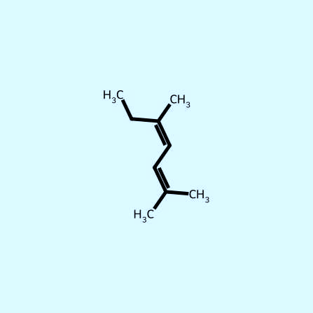 CC/C(C)=C\C=C(C)C